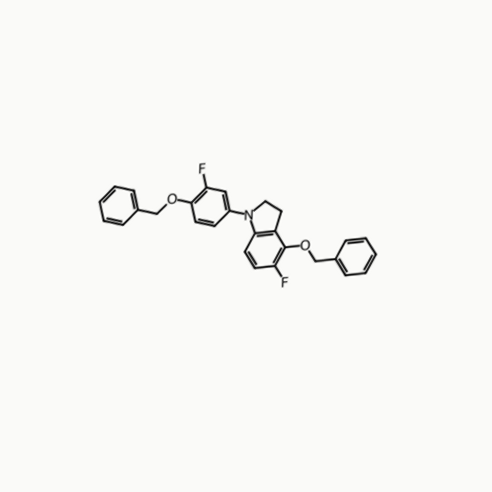 Fc1cc(N2CCc3c2ccc(F)c3OCc2ccccc2)ccc1OCc1ccccc1